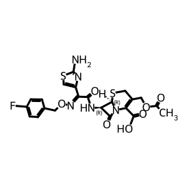 CC(=O)OCC1=C(C(=O)O)N2C(=O)[C@@H](NC(=O)C(=NOCc3ccc(F)cc3)c3csc(N)n3)[C@H]2SC1